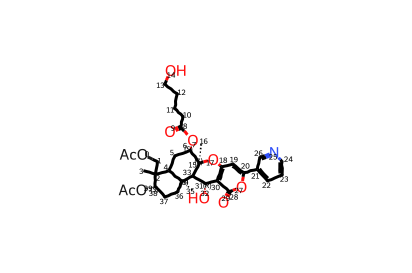 CC(=O)OCC1(C)C2C[C@H](OC(=O)CCCCO)[C@@]3(C)Oc4cc(-c5cccnc5)oc(=O)c4[C@H](O)C3[C@@]2(C)CC[C@@H]1OC(C)=O